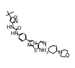 CC(C)(C)c1cc(NC(=O)Nc2ccc(-c3cn4c(/C=N\C[C@H]5CC[C@H](N6CCOCC6)CC5)c(N)sc4n3)cc2)no1